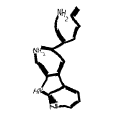 C=C/C=C\C(=C/N)C(=C)/C=c1\c(=C/N)[nH]c2ncccc12